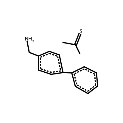 CC(C)=S.NCc1ccc(-c2ccccc2)cc1